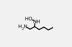 CCCCC(CN)NO